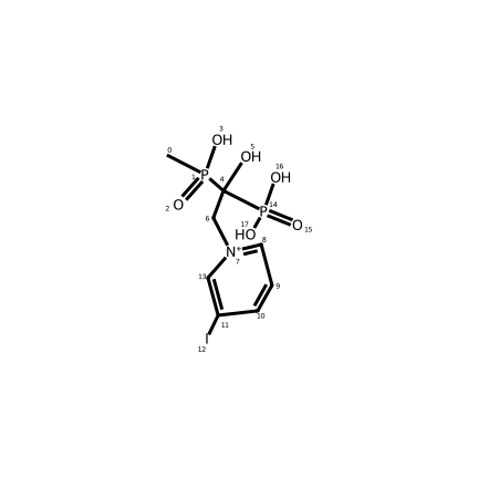 CP(=O)(O)C(O)(C[n+]1cccc(I)c1)P(=O)(O)O